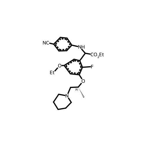 CCOC(=O)C(Nc1ccc(C#N)cc1)c1cc(OCC)cc(O[C@H](C)CN2CCCCC2)c1F